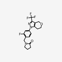 O=C1CCCN1Cc1ccc(-n2nc(C(F)(F)F)c3c2CCOC3)cc1F